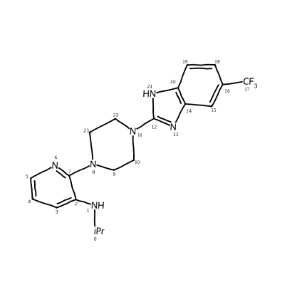 CC(C)Nc1cccnc1N1CCN(c2nc3cc(C(F)(F)F)ccc3[nH]2)CC1